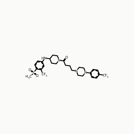 CS(=O)(=O)c1ccc(NC2CCN(C(=O)CCCN3CCN(c4ccc(C(F)(F)F)cc4)CC3)CC2)cc1C(F)(F)F